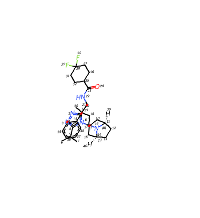 Cc1nnc(C(C)C)n1C1C[C@H]2CC[C@@H](C1)N2CCC(C)(CNC(=O)C1CCC(F)(F)CC1)c1ccccc1